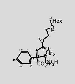 C=C(C(=O)O)C(CC(=O)OCCOCCCCCC)(C(=O)O)c1ccccc1